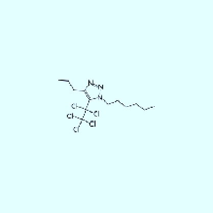 CCCCCCn1nnc(CCC)c1C(Cl)(Cl)C(Cl)(Cl)Cl